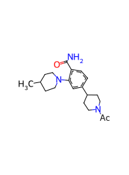 CC(=O)N1CCC(c2ccc(C(N)=O)c(N3CCC(C)CC3)c2)CC1